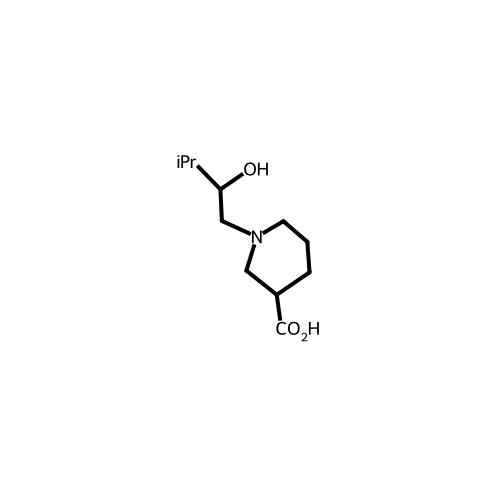 CC(C)C(O)CN1CCCC(C(=O)O)C1